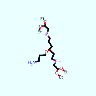 CCOC(CPCCCC(CCPCC(OCC)OCC)OCCCN)OCC